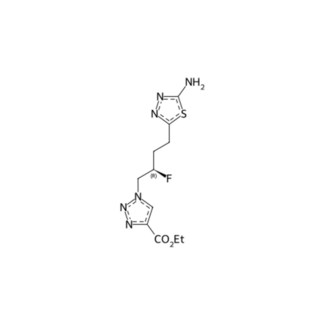 CCOC(=O)c1cn(C[C@H](F)CCc2nnc(N)s2)nn1